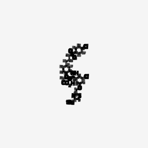 CC(C)(C)c1csc(COc2cc(Cl)cc(C(=O)Nc3cc(CCCS(=O)(=O)c4ccc(Cl)cc4)ccc3OCC(=O)O)c2)n1